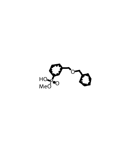 COP(=O)(O)c1cccc(COCc2ccccc2)c1